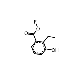 CCc1c(O)cccc1C(=O)OF